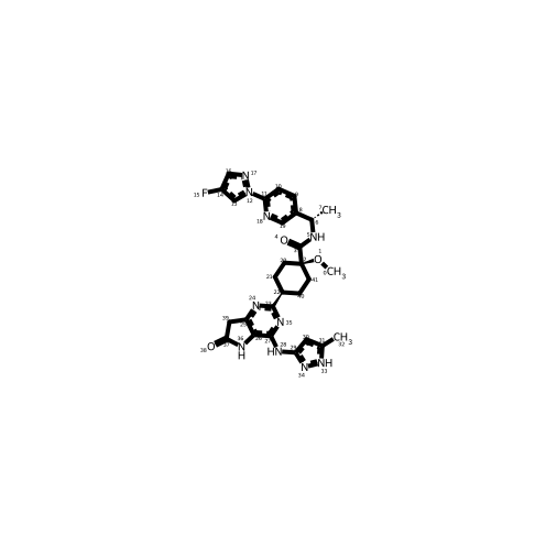 CO[C@]1(C(=O)N[C@@H](C)c2ccc(-n3cc(F)cn3)nc2)CC[C@H](c2nc3c(c(Nc4cc(C)[nH]n4)n2)NC(=O)C3)CC1